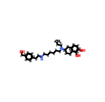 CCCN(CCCCCCNCCc1ccc(CO)cc1)C1CCc2c(ccc(O)c2O)C1